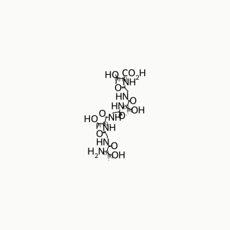 C[C@@H](O)[C@H](N)C(=O)NCC(=O)N[C@H](C(=O)NCC(=O)N[C@H](C(=O)NCC(=O)N[C@H](C(=O)O)[C@@H](C)O)[C@@H](C)O)[C@@H](C)O